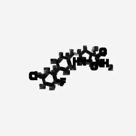 C[C@@]1(C(N)=O)C[C@@H](Cc2ccc(-c3cc(Cl)ccc3F)cc2)NC1=O